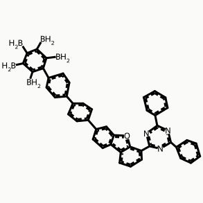 Bc1c(B)c(B)c(-c2ccc(-c3ccc(-c4ccc5c(c4)oc4c(-c6nc(-c7ccccc7)nc(-c7ccccc7)n6)cccc45)cc3)cc2)c(B)c1B